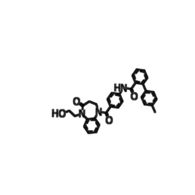 Cc1ccc(-c2ccccc2C(=O)Nc2ccc(C(=O)N3CCC(=O)N(CCO)c4ccccc43)cc2)cc1